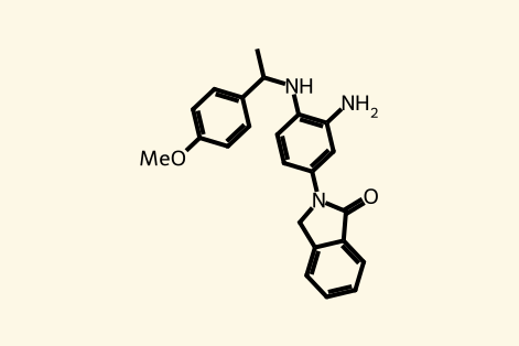 COc1ccc(C(C)Nc2ccc(N3Cc4ccccc4C3=O)cc2N)cc1